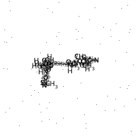 CCc1cc2c(cc1N1CCC(NC(=O)CCCCCCCCC(=O)NC(C(=O)N3C[C@H](O)C[C@H]3C(=O)NCc3ccc(-c4scnc4C)cc3)C(C)(C)C)CC1)C(C)(C)c1[nH]c3cc(C#N)ccc3c1C2=O